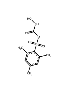 Cc1cc(C)c(S(=O)(=O)OC(=O)NO)c(C)c1